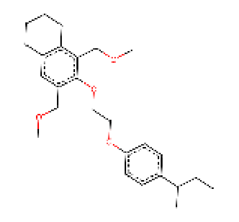 CCC(C)c1ccc(OCCOc2c(COC)cc3c(c2COC)CCCC3)cc1